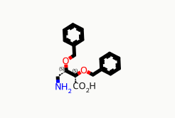 NC[C@H](OCc1ccccc1)[C@H](OCc1ccccc1)C(=O)O